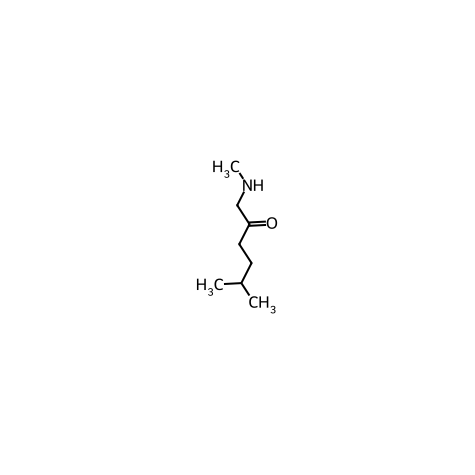 CNCC(=O)CCC(C)C